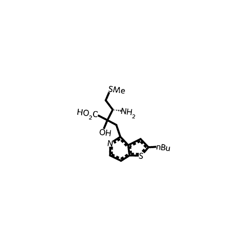 CCCCc1cc2c(CC(O)(C(=O)O)[C@@H](N)CSC)nccc2s1